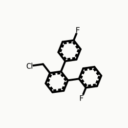 Fc1ccc(-c2c(CCl)cccc2-c2ccccc2F)cc1